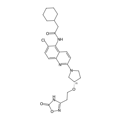 O=C(CC1CCCCC1)Nc1c(Cl)ccc2nc(N3CC[C@H](OCCc4noc(=O)[nH]4)C3)ccc12